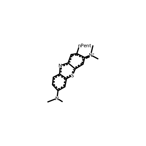 CCCCCc1cc2nc3ccc(N(C)C)cc3sc-2cc1=[N+](C)C